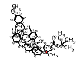 COc1ccc(CN(Cc2ccc(OC)cc2)S(=O)(=O)c2c(S(=O)(=O)N(C)[C@H]3CCN(C(=O)OC(C)(C)C)C3)ccc(I)c2-c2nnnn2Cc2ccc(OC)cc2)cc1